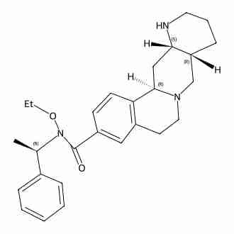 CCON(C(=O)c1ccc2c(c1)CCN1C[C@H]3CCCN[C@H]3C[C@H]21)[C@H](C)c1ccccc1